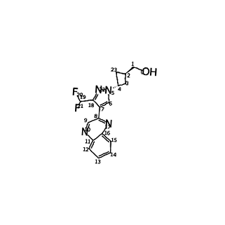 OC[C@H]1C[C@H](n2cc(-c3cnc4ccccc4n3)c(C(F)F)n2)C1